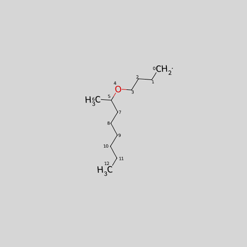 [CH2]CCCOC(C)CCCCCC